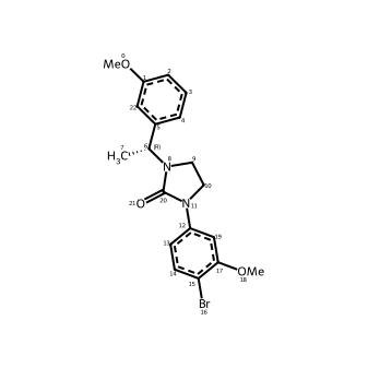 COc1cccc([C@@H](C)N2CCN(c3ccc(Br)c(OC)c3)C2=O)c1